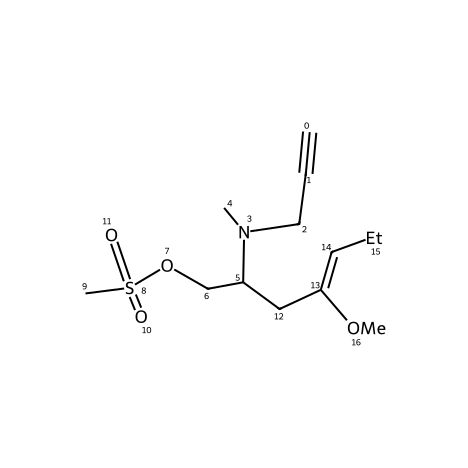 C#CCN(C)C(COS(C)(=O)=O)C/C(=C/CC)OC